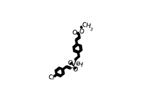 CCOC(=O)C=Cc1ccc(CCNS(=O)(=O)C=Cc2ccc(Cl)cc2)cc1